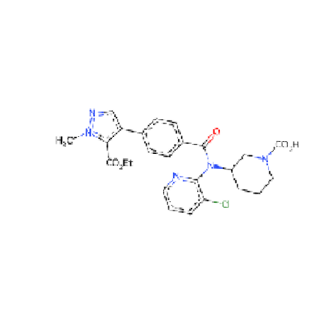 CCOC(=O)c1c(-c2ccc(C(=O)N(c3ncccc3Cl)[C@@H]3CCCN(C(=O)O)C3)cc2)cnn1C